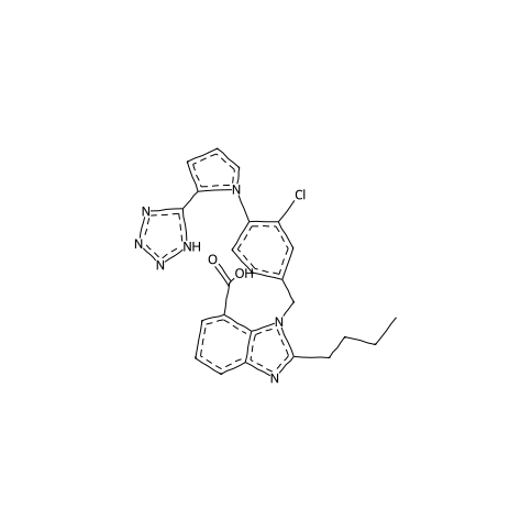 CCCCc1nc2cccc(C(=O)O)c2n1Cc1ccc(-n2cccc2-c2nnn[nH]2)c(Cl)c1